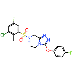 CCn1c(Oc2ccc(F)cc2)nnc1[C@@H](C)NS(=O)(=O)c1cc(F)cc(Cl)c1C